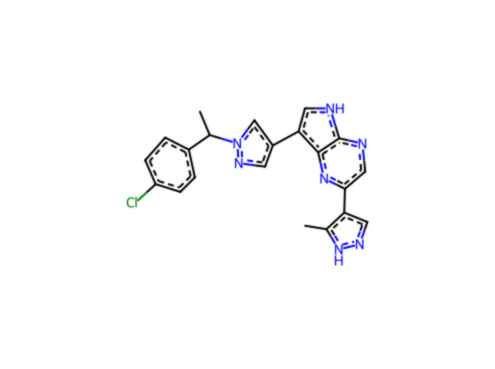 Cc1[nH]ncc1-c1cnc2[nH]cc(-c3cnn(C(C)c4ccc(Cl)cc4)c3)c2n1